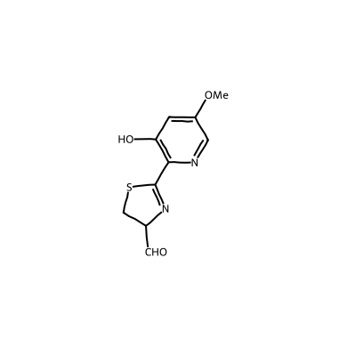 COc1cnc(C2=NC(C=O)CS2)c(O)c1